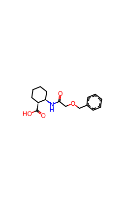 O=C(COCc1ccccc1)N[C@@H]1CCCC[C@@H]1C(=O)O